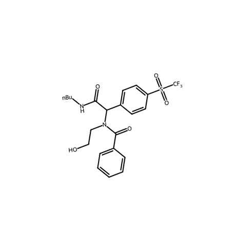 CCCCNC(=O)C(c1ccc(S(=O)(=O)C(F)(F)F)cc1)N(CCO)C(=O)c1ccccc1